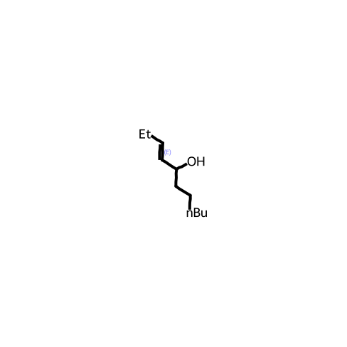 CC/C=C/C(O)CCCCCC